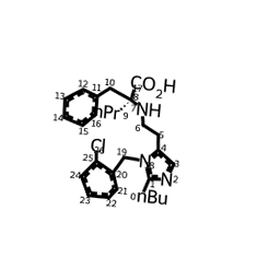 CCCCc1ncc(CCN[C@@](CCC)(Cc2ccccc2)C(=O)O)n1Cc1ccccc1Cl